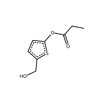 CCC(=O)Oc1ccc(CO)s1